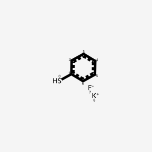 Sc1ccccc1.[F-].[K+]